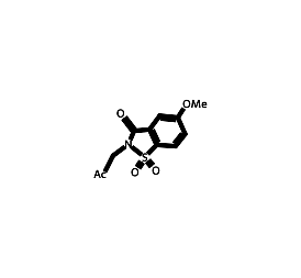 COc1ccc2c(c1)C(=O)N(CC(C)=O)S2(=O)=O